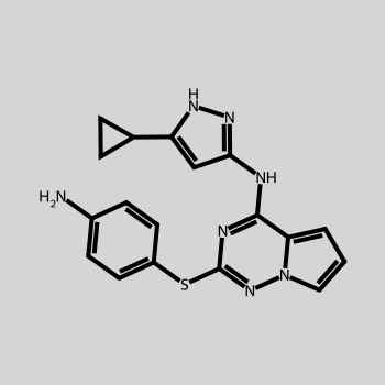 Nc1ccc(Sc2nc(Nc3cc(C4CC4)[nH]n3)c3cccn3n2)cc1